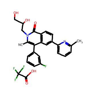 Cc1cccc(-c2ccc3c(=O)n(CC(O)CO)c(C#N)c(-c4cccc(F)c4)c3c2)n1.O=C(O)C(F)(F)F